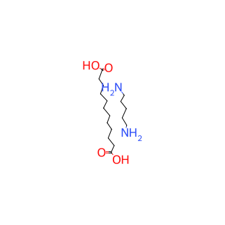 NCCCCCN.O=C(O)CCCCCCCCCCC(=O)O